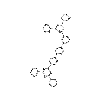 c1ccc(-c2cc(-c3ccccn3)nc(-c3cc(-c4ccc(-c5ccc(-c6nc(-c7ccccc7)nc(-c7ccccc7)n6)cc5)cc4)ccn3)c2)cc1